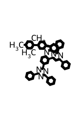 Cc1cc(C)c(-c2ccc3c4ccccc4n(-c4ccc(-c5nc(-c6ccccc6)nc(-c6ccccc6)n5)cc4-c4cc(-c5ccccc5)nc(-c5ccccc5)n4)c3c2)c(C)c1